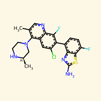 Cc1cnc2c(F)c(-c3ccc(F)c4sc(N)nc34)c(Cl)cc2c1N1CCN[C@H](C)C1